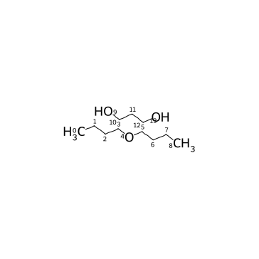 CCCCOCCCC.OCCCO